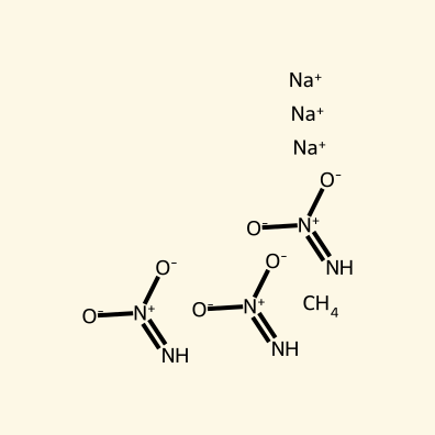 C.N=[N+]([O-])[O-].N=[N+]([O-])[O-].N=[N+]([O-])[O-].[Na+].[Na+].[Na+]